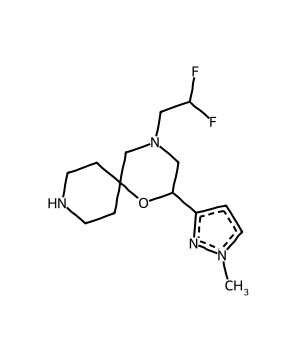 Cn1ccc(C2CN(CC(F)F)CC3(CCNCC3)O2)n1